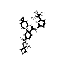 CC1(NS(=O)(=O)c2ccc(C(=O)Nc3cccc(C(C)(C)O)n3)c(N3CCC4(CC3)CC4)c2)COC1